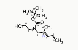 C=C/C=C(\C)CN(CCO)C(=O)OC(C)(C)C